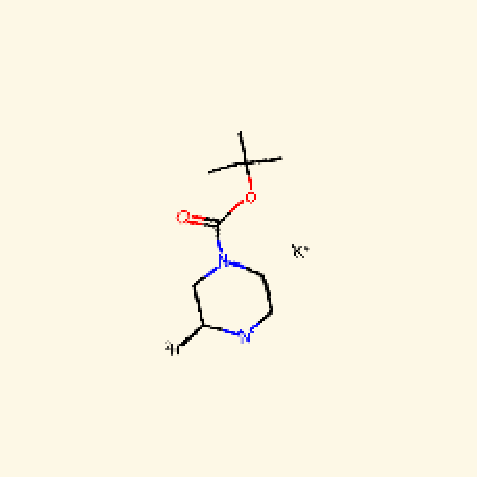 [2H]C1CN(C(=O)OC(C)(C)C)CC[N-]1.[K+]